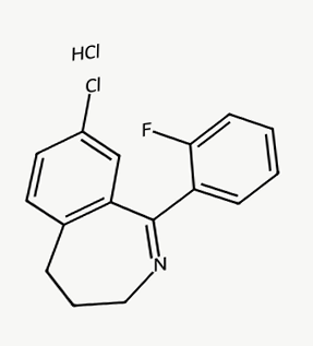 Cl.Fc1ccccc1C1=NCCCc2ccc(Cl)cc21